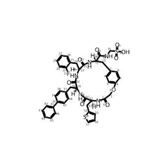 O=C1COc2ccc(cc2)C[C@@H](C(=O)NCS(=O)(=O)O)NC(=O)[C@H](Cc2ccccc2F)NC(=O)[C@@H](Cc2ccc(-c3ccccc3)cc2)NC(=O)[C@H](Cc2cccs2)N1